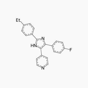 CCc1ccc(-c2nc(-c3ccc(F)cc3)c(-c3ccncc3)[nH]2)cc1